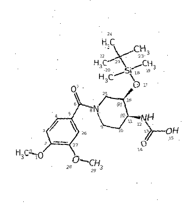 COc1ccc(C(=O)N2CC[C@H](NC(=O)O)[C@H](O[Si](C)(C)C(C)(C)C)C2)cc1OC